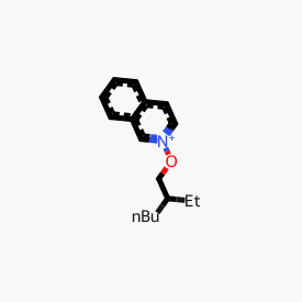 CCCCC(CC)CO[n+]1ccc2ccccc2c1